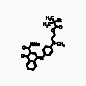 CCC(C)(C)C(=O)OCCN(C)c1ccc(/N=C2\C=C(C(=O)NC)C(=O)c3ccccc32)cc1